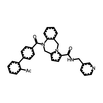 CC(=O)c1ccccc1-c1ccc(C(=O)N2Cc3ccc(C(=O)NCc4cccnc4)n3Cc3ccccc32)cc1